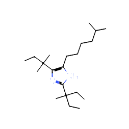 CCC(C)(C)c1nc(C(C)(CC)CC)[nH]c1CCCCC(C)C